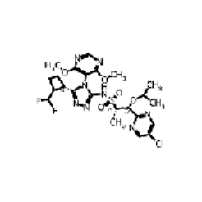 COc1ncnc(OC)c1-n1c(NS(=O)(=O)[C@@H](C)[C@@H](OC(C)C)c2ncc(Cl)cn2)nnc1[C@H]1CCC1C(F)F